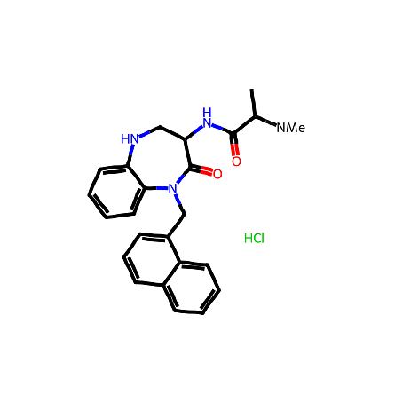 CNC(C)C(=O)NC1CNc2ccccc2N(Cc2cccc3ccccc23)C1=O.Cl